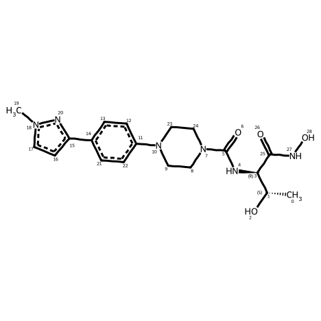 C[C@H](O)[C@@H](NC(=O)N1CCN(c2ccc(-c3ccn(C)n3)cc2)CC1)C(=O)NO